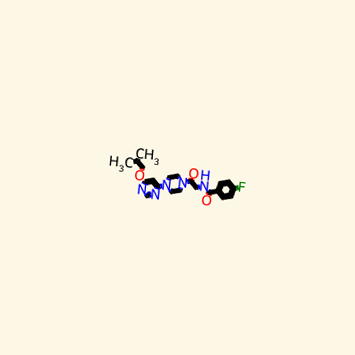 CC(C)COc1cc(N2CCN(C(=O)CNC(=O)c3ccc(F)cc3)CC2)ncn1